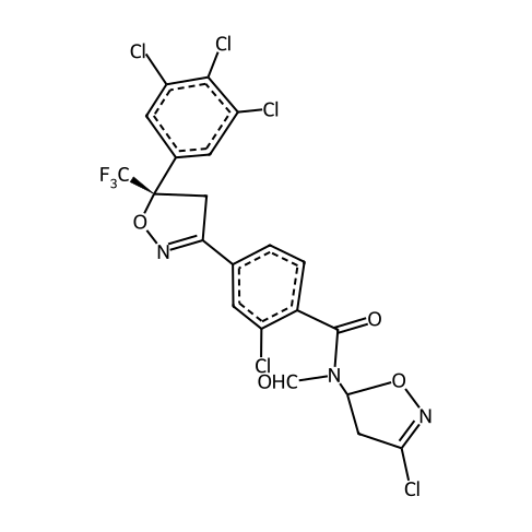 O=CN(C(=O)c1ccc(C2=NO[C@@](c3cc(Cl)c(Cl)c(Cl)c3)(C(F)(F)F)C2)cc1Cl)C1CC(Cl)=NO1